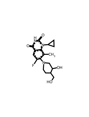 Cc1c(N2CCC(CO)C(O)C2)c(F)cc2c(=O)[nH]c(=O)n(C3CC3)c12